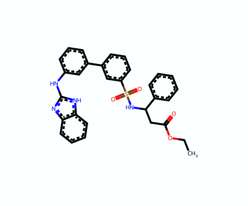 CCOC(=O)CC(NS(=O)(=O)c1cccc(-c2cccc(Nc3nc4ccccc4[nH]3)c2)c1)c1ccccc1